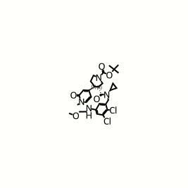 COCCNc1cc(Cl)c(Cl)c(CN(C(=O)[C@H]2CN(C(=O)OC(C)(C)C)CC[C@@H]2c2ccn(C)c(=O)c2)C2CC2)c1